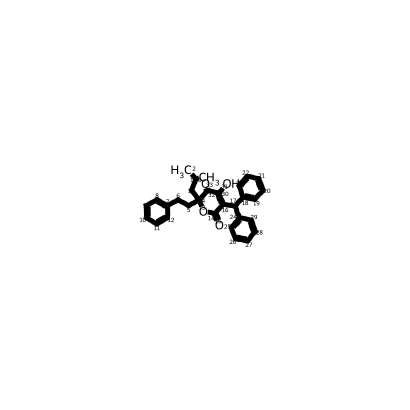 CC(C)CC1(CCc2ccccc2)OC(=O)C(C(c2ccccc2)c2ccccc2)=C(O)C1=O